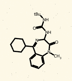 CN1C(=O)C(NC(=O)NC(C)(C)C)N=C(C2CCCCC2)c2ccccc21